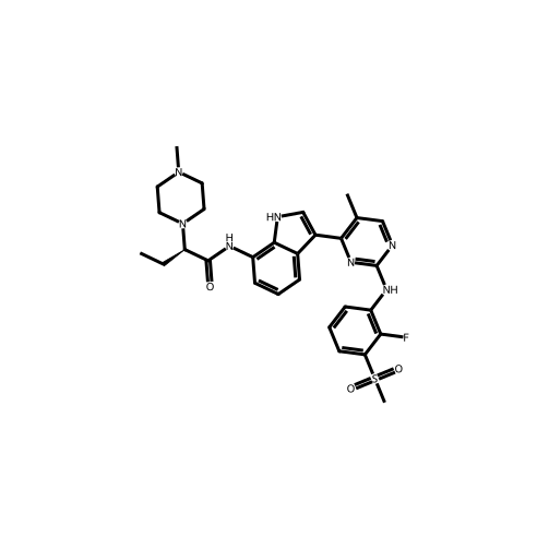 CC[C@H](C(=O)Nc1cccc2c(-c3nc(Nc4cccc(S(C)(=O)=O)c4F)ncc3C)c[nH]c12)N1CCN(C)CC1